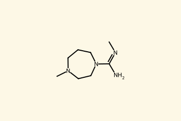 C/N=C(/N)N1CCCN(C)CC1